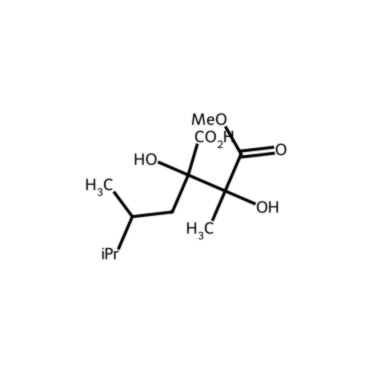 COC(=O)C(C)(O)C(O)(CC(C)C(C)C)C(=O)O